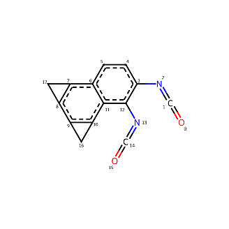 O=C=Nc1ccc2c3c(c4c(c2c1N=C=O)C4)C3